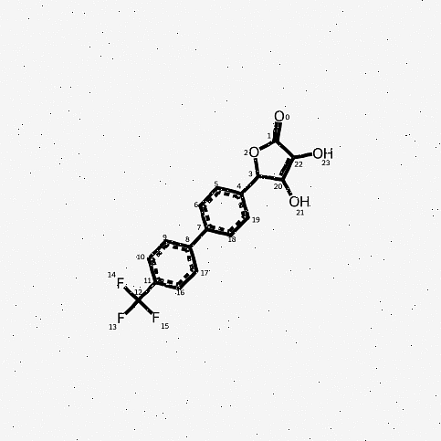 O=C1OC(c2ccc(-c3ccc(C(F)(F)F)cc3)cc2)C(O)=C1O